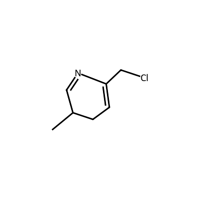 CC1C=NC(CCl)=CC1